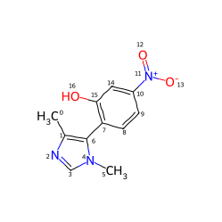 Cc1ncn(C)c1-c1ccc([N+](=O)[O-])cc1O